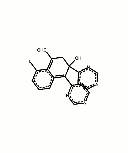 O=CC1=c2c(I)cccc2=C(c2ccncn2)C(O)(c2ccncn2)C1